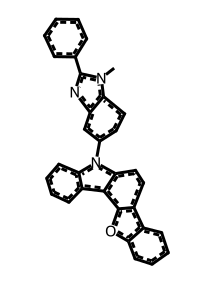 Cn1c(-c2ccccc2)nc2cc(-n3c4ccccc4c4c5oc6ccccc6c5ccc43)ccc21